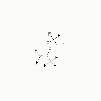 FC(F)=C(F)C(F)(F)F.[CH]=CC(F)(F)F